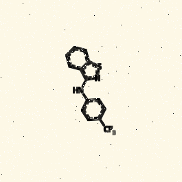 FC(F)(F)c1ccc(Nc2nsc3ccccc23)cc1